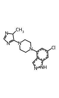 CC1N=CN=C1N1CCN(c2cc(Cl)cc3[nH]ncc23)CC1